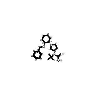 CC(C)(C)N(C(=O)O)[C@@H]1CCN([C@H]2CCCC[C@@H]2OCc2ccccc2)C1